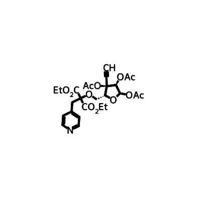 C#C[C@@]1(OC(C)=O)[C@@H](COC(Cc2ccncc2)(C(=O)OCC)C(=O)OCC)OC(OC(C)=O)[C@@H]1OC(C)=O